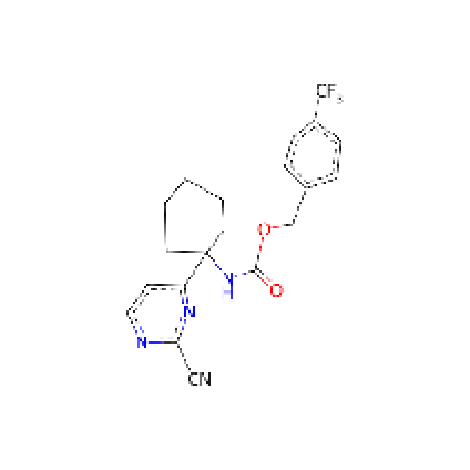 N#Cc1nccc(C2(NC(=O)OCc3ccc(C(F)(F)F)cc3)CCCCC2)n1